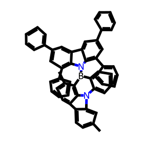 Cc1ccc2c3ccc(C)c4c3n(c2c1)-c1ccccc1B4n1c2c(-c3ccccc3)cc(-c3ccccc3)cc2c2cc(-c3ccccc3)cc(-c3ccccc3)c21